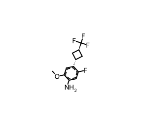 COc1cc([C@H]2C[C@H](C(F)(F)F)C2)c(F)cc1N